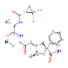 CC(C)C[C@H](NC(=O)[C@@H](NC(=O)[C@@H]1CC1(F)F)C(C)(C)C)C(=O)/C=C1/C[C@]2(C[C@H]1C#N)C(=O)Nc1ccccc12